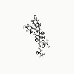 CN(C)C(=O)/C=C/CCC(OC(=O)N(C)C)C(=O)Nc1cncn(Cc2nc3cc(F)ccc3n2Cc2ccc(F)cc2F)c1=O